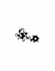 CC(C)Cn1c(=O)n(C)c(=O)c2c1ncn2COCc1ccccc1